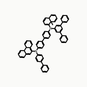 CC12C=CC=CC1C=CC=C2N(c1ccc(-c2ccc(N(C3=C4C=CC=CC4C4C=CC=CC4=C3)c3ccc(-c4ccccc4)cc3)cc2)cc1)c1cc(-c2ccccc2)cc(-c2ccccc2)c1